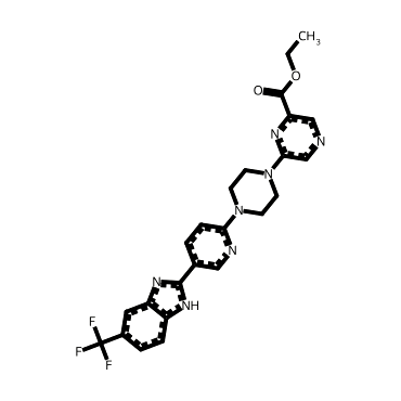 CCOC(=O)c1cncc(N2CCN(c3ccc(-c4nc5cc(C(F)(F)F)ccc5[nH]4)cn3)CC2)n1